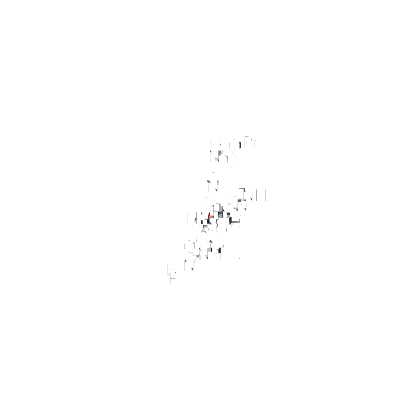 CC(C)Oc1ccccc1[C@@H]1COCCN1C1CC2(CCN(c3ccc(C(=O)NS(=O)(=O)c4cc5c(c([N+](=O)[O-])c4)N[C@@H](CN4CCC(F)(F)CC4)CO5)c(N4c5cc6cc[nH]c6nc5O[C@H]5COCC[C@@H]54)c3)CC2)C1